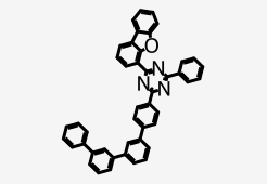 c1ccc(-c2cccc(-c3cccc(-c4ccc(-c5nc(-c6ccccc6)nc(-c6cccc7c6oc6ccccc67)n5)cc4)c3)c2)cc1